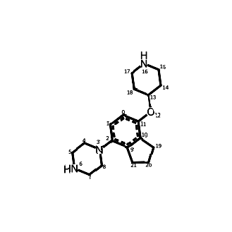 c1cc(N2CCNCC2)c2c(c1OC1CCNCC1)CCC2